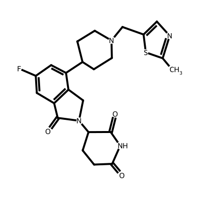 Cc1ncc(CN2CCC(c3cc(F)cc4c3CN(C3CCC(=O)NC3=O)C4=O)CC2)s1